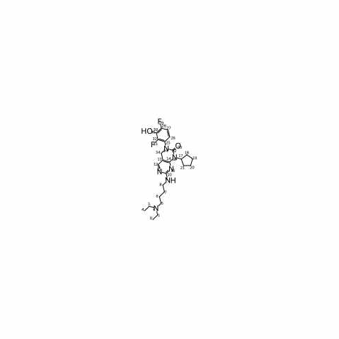 CCN(CC)CCCCNc1ncc2c(n1)N(C1CCCC1)C(=O)N(c1ccc(F)c(O)c1F)C2